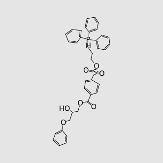 O=C(OCC(O)COc1ccccc1)c1ccc(S(=O)(=O)OCCC[PH](c2ccccc2)(c2ccccc2)c2ccccc2)cc1